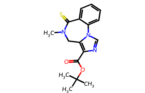 CN1Cc2c(C(=O)OC(C)(C)C)ncn2-c2ccccc2C1=S